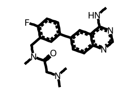 CNc1ncnc2ccc(-c3ccc(F)c(CN(C)C(=O)CN(C)C)c3)cc12